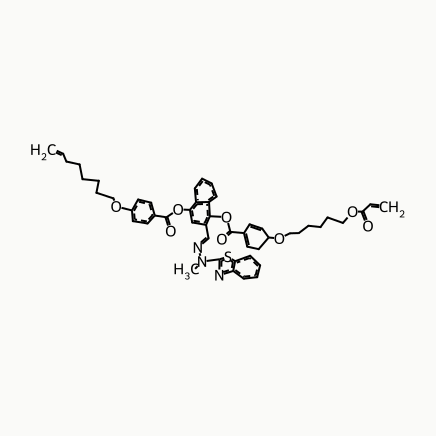 C=CCCCCCCOc1ccc(C(=O)Oc2cc(/C=N/N(C)c3nc4ccccc4s3)c(OC(=O)C3=CCC(OCCCCCCOC(=O)C=C)C=C3)c3ccccc23)cc1